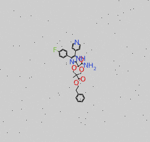 CC1(C(=O)OCCc2ccccc2)COC(C(N)=O)(c2nc(-c3ccc(F)cc3)c(-c3ccncc3)[nH]2)OC1